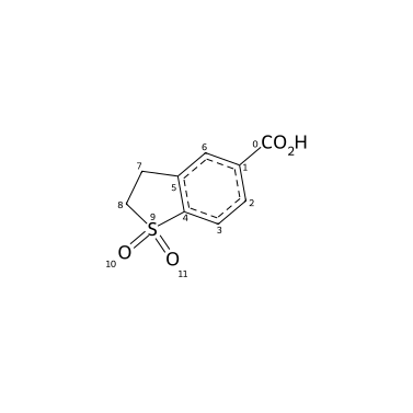 O=C(O)c1ccc2c(c1)CCS2(=O)=O